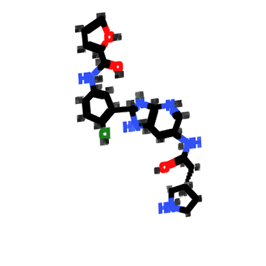 O=C(C[C@@H]1CCNC1)Nc1cnc2nc(-c3cc(NC(=O)c4ccco4)ccc3Cl)[nH]c2c1